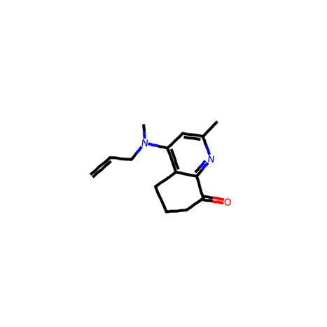 C=CCN(C)c1cc(C)nc2c1CCCC2=O